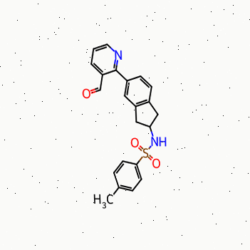 Cc1ccc(S(=O)(=O)NC2Cc3ccc(-c4ncccc4C=O)cc3C2)cc1